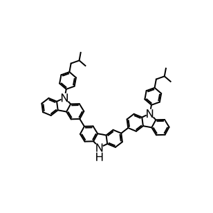 CC(C)Cc1ccc(-n2c3ccccc3c3cc(-c4ccc5[nH]c6ccc(-c7ccc8c(c7)c7ccccc7n8-c7ccc(CC(C)C)cc7)cc6c5c4)ccc32)cc1